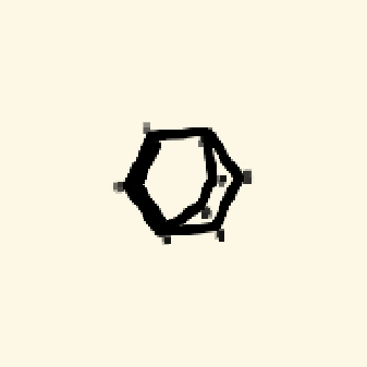 C1=CC2CCC=1CC2